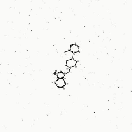 Cc1ccccc1N1CCN(Cc2c[nH]c3ncccc23)CC1